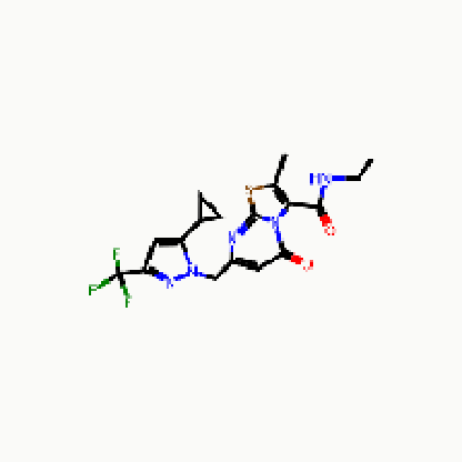 CCNC(=O)c1c(C)sc2nc(Cn3nc(C(F)(F)F)cc3C3CC3)cc(=O)n12